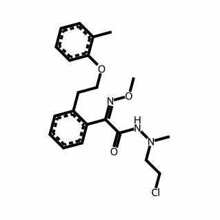 CON=C(C(=O)NN(C)CCCl)c1ccccc1CCOc1ccccc1C